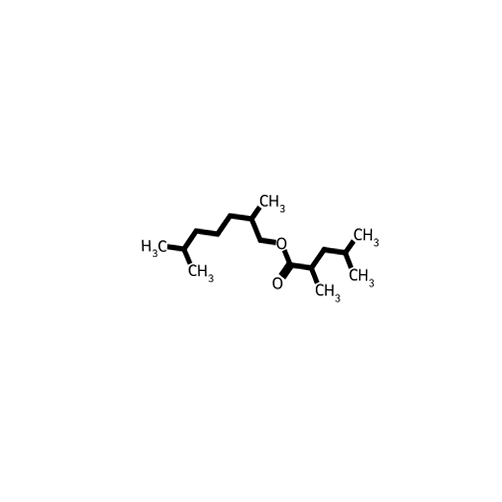 CC(C)CCCC(C)COC(=O)C(C)CC(C)C